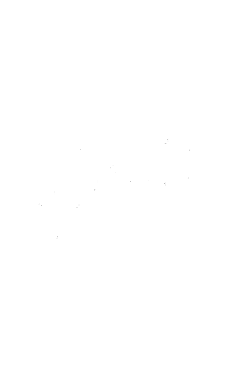 CC(Cc1ccccc1)SSCc1ccccc1